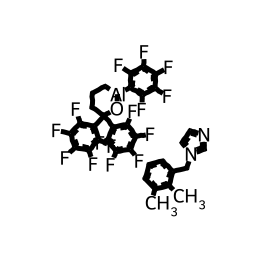 Cc1cccc(Cn2ccnc2)c1C.Fc1c(F)c(F)[c]([Al]2[CH2]CCC(c3c(F)c(F)c(F)c(F)c3F)(c3c(F)c(F)c(F)c(F)c3F)[O]2)c(F)c1F